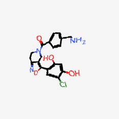 NCc1ccc(C(=O)N2CCc3noc(-c4cc(Cl)c(O)cc4O)c3C2)cc1